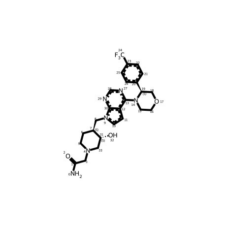 NC(=O)CN1CC[C@@H](Cn2ccc3c(N4CCOC[C@@H]4c4ccc(C(F)(F)F)cc4)ncnc32)[C@H](O)C1